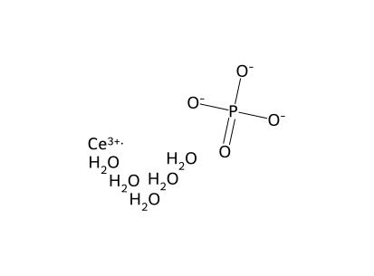 O.O.O.O.O.O=P([O-])([O-])[O-].[Ce+3]